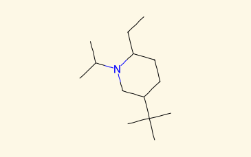 CCC1CCC(C(C)(C)C)CN1C(C)C